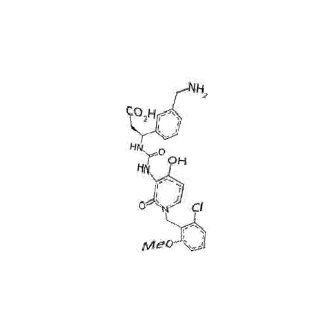 COc1cccc(Cl)c1Cn1ccc(O)c(NC(=O)N[C@@H](CC(=O)O)c2cccc(CN)c2)c1=O